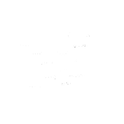 CCCCOc1cc(C(=O)N=O)cc(C(N)=O)c1OCCCC